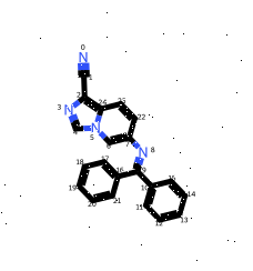 N#Cc1ncn2cc(N=C(c3ccccc3)c3ccccc3)ccc12